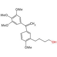 C=C(c1ccc(OC)c(CCCCO)c1)c1cc(OC)c(OC)c(OC)c1